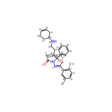 CN(O)C(=O)N1N=C(c2cc(F)ccc2F)OC1(CCCNC1CC=CCC1)c1ccccc1